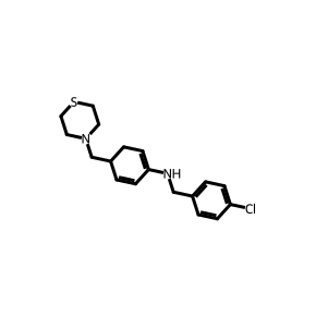 Clc1ccc(CNC2=CCC(CN3CCSCC3)C=C2)cc1